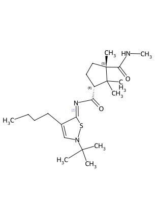 CCCCc1cn(C(C)(C)C)s/c1=N\C(=O)[C@@H]1CC[C@](C)(C(=O)NC)C1(C)C